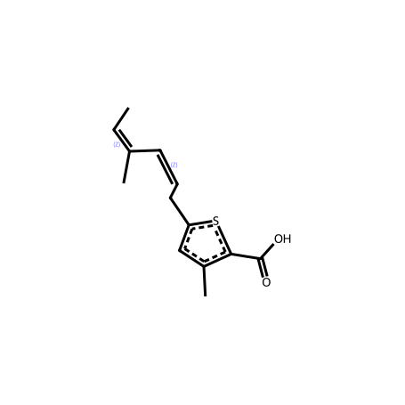 C/C=C(C)\C=C/Cc1cc(C)c(C(=O)O)s1